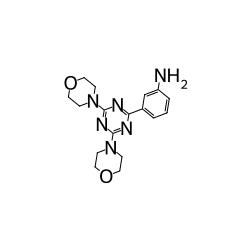 Nc1cccc(-c2nc(N3CCOCC3)nc(N3CCOCC3)n2)c1